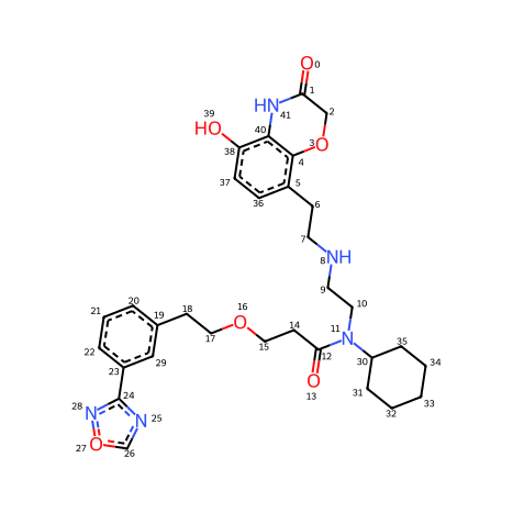 O=C1COc2c(CCNCCN(C(=O)CCOCCc3cccc(-c4ncon4)c3)C3CCCCC3)ccc(O)c2N1